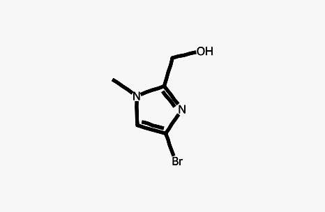 Cn1cc(Br)nc1CO